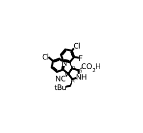 CC(C)(C)C[C@@H]1N[C@@H](C(=O)O)[C@H](c2cccc(Cl)c2F)[C@@]1(C#N)c1ccc(Cl)cn1